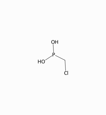 OP(O)CCl